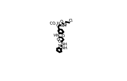 O=C(CC1Oc2ccc(C[C@H](NC(=O)OCCCl)C(=O)O)cc2NC1=O)Nc1nc2ccccc2[nH]1